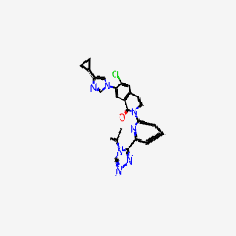 CC(C)n1cnnc1-c1cccc(N2CCc3cc(Cl)c(-n4cnc(C5CC5)c4)cc3C2=O)n1